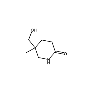 CC1(CO)CCC(=O)NC1